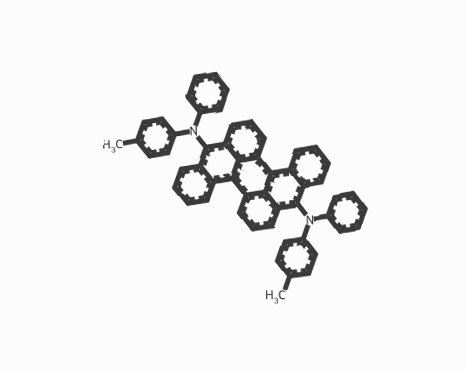 Cc1ccc(N(c2ccccc2)c2c3ccccc3c3c4cccc5c(N(c6ccccc6)c6ccc(C)cc6)c6ccccc6c(c6cccc2c63)c54)cc1